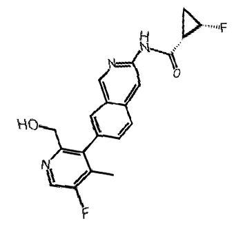 Cc1c(F)cnc(CO)c1-c1ccc2cc(NC(=O)[C@@H]3C[C@@H]3F)ncc2c1